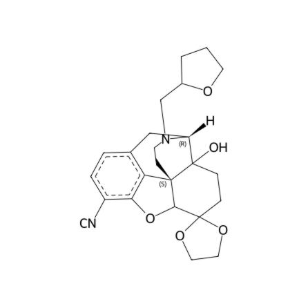 [C-]#[N+]c1ccc2c3c1OC1C4(CCC5(O)[C@@H](C2)N(CC2CCCO2)CC[C@]315)OCCO4